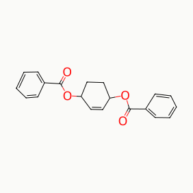 O=C(OC1C=CC(OC(=O)c2ccccc2)CC1)c1ccccc1